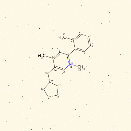 Cc1cc(-c2ccccc2C)[n+](C)cc1CC1CCCC1